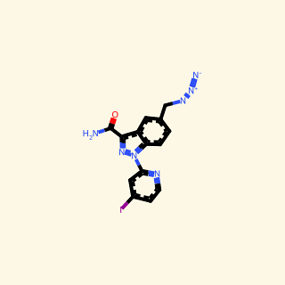 [N-]=[N+]=NCc1ccc2c(c1)c(C(N)=O)nn2-c1cc(I)ccn1